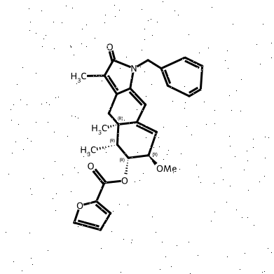 CO[C@@H]1C=C2C=C3C(=C(C)C(=O)N3Cc3ccccc3)C[C@]2(C)[C@@H](C)[C@H]1OC(=O)c1ccco1